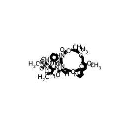 C=C[C@H](I)C(NC(=O)[C@@H]1C[C@@H]2CN1C(=O)[C@H](C1CCCCC1)NC(=O)OCC(C)(C)CCCc1cc3c(nccc3cc1OC)O2)C(=O)NS(=O)(=O)N(C)C